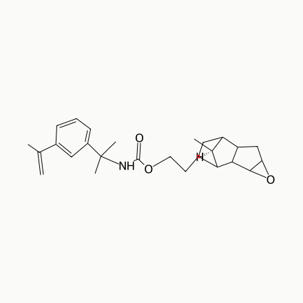 C=C(C)c1cccc(C(C)(C)NC(=O)OCCC2CC3C4CC5OC5C4C2[C@H]3C)c1